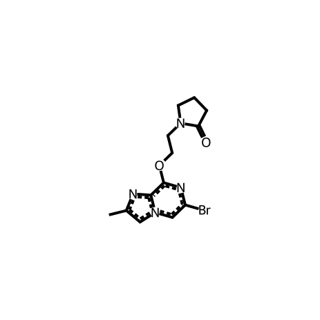 Cc1cn2cc(Br)nc(OCCN3CCCC3=O)c2n1